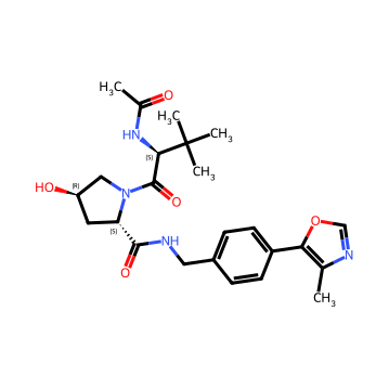 CC(=O)N[C@H](C(=O)N1C[C@H](O)C[C@H]1C(=O)NCc1ccc(-c2ocnc2C)cc1)C(C)(C)C